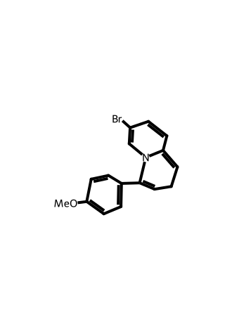 COc1ccc(C2=CCC=C3C=CC(Br)=CN32)cc1